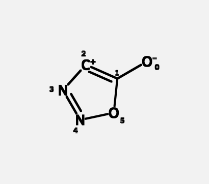 [O-]C1=[C+]N=NO1